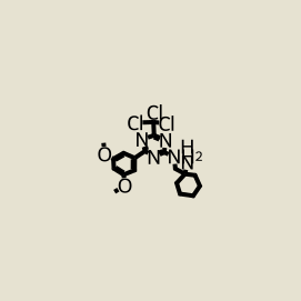 COc1cc(OC)cc(-c2nc(NCC3(N)CCCCC3)nc(C(Cl)(Cl)Cl)n2)c1